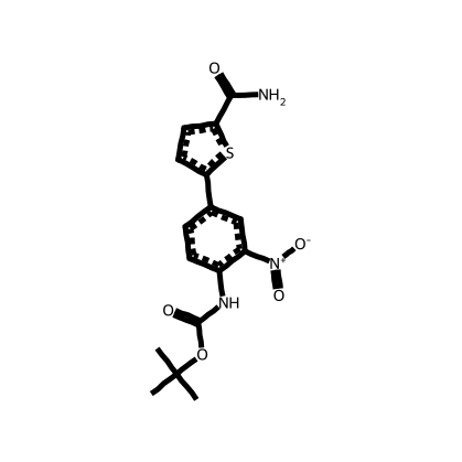 CC(C)(C)OC(=O)Nc1ccc(-c2ccc(C(N)=O)s2)cc1[N+](=O)[O-]